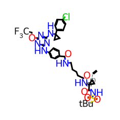 C=C[C@@H]1C[C@]1(NC(=O)CCCCNC(=O)c1ccc(Nc2nc(NC3(c4ccc(Cl)cc4)CC3)nc(OCC(F)(F)F)n2)cc1)C(=O)NS(=O)(=O)C(C)(C)C